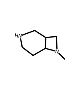 CN1CC2CNCCC21